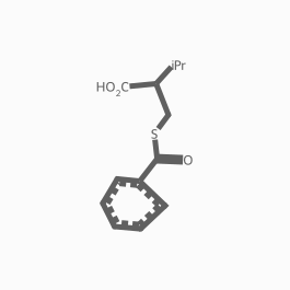 CC(C)C(CSC(=O)c1ccccc1)C(=O)O